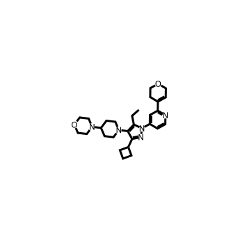 CCc1c(N2CCC(N3CCOCC3)CC2)c(C2CCC2)nn1-c1ccnc(C2=CCOCC2)c1